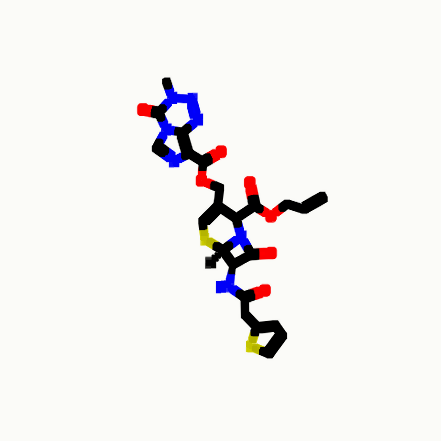 C=CCOC(=O)C1C(COC(=O)c2ncn3c(=O)n(C)nnc23)=CS[C@@H]2[C@H](NC(=O)Cc3cccs3)C(=O)N12